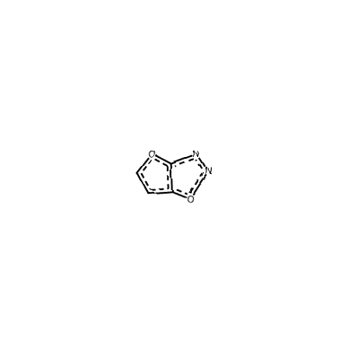 c1cc2onnc2o1